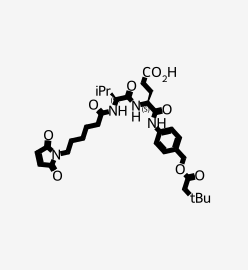 CC(C)[C@H](NC(=O)CCCCCN1C(=O)C=CC1=O)C(=O)N[C@@H](CCC(=O)O)C(=O)Nc1ccc(COC(=O)CC(C)(C)C)cc1